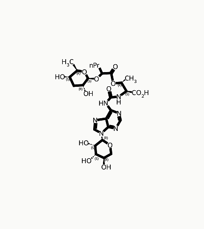 CCCC(O[C@@H]1O[C@H](C)[C@@H](O)C[C@H]1O)C(=O)O[C@H](C)[C@H](NC(=O)Nc1ncnc2c1ncn2[C@@H]1OC[C@@H](O)[C@H](O)[C@@H]1O)C(=O)O